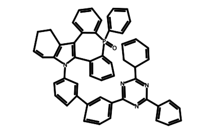 O=P1(c2ccccc2)c2ccccc2-c2c3c(n(-c4cccc(-c5cccc(-c6nc(-c7ccccc7)nc(C7C=CC=CC7)n6)c5)c4)c2-c2ccccc21)C=CCC3